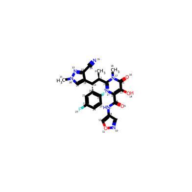 C[C@@H](c1nc(C(=O)Nc2cnoc2)c(O)c(=O)n1C)[C@H](c1cc(F)ccc1F)c1cn(C)nc1C#N